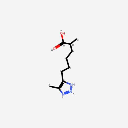 Cc1nn[nH]c1CCCCC(C)C(=O)O